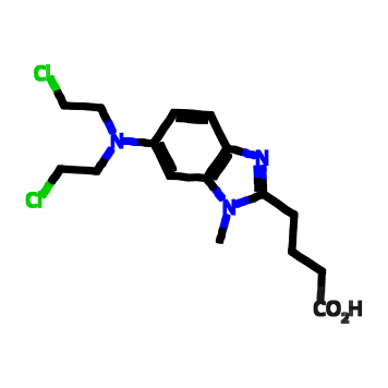 Cn1c(CCCC(=O)O)nc2ccc(N(CCCl)CCCl)cc21